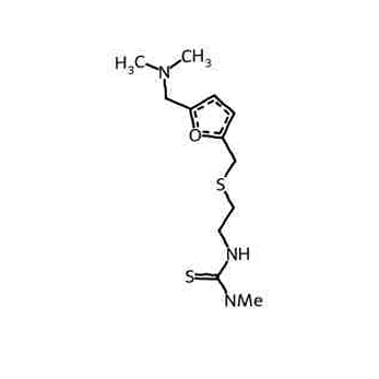 CNC(=S)NCCSCc1ccc(CN(C)C)o1